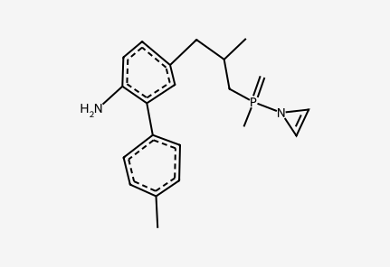 C=P(C)(CC(C)Cc1ccc(N)c(-c2ccc(C)cc2)c1)N1C=C1